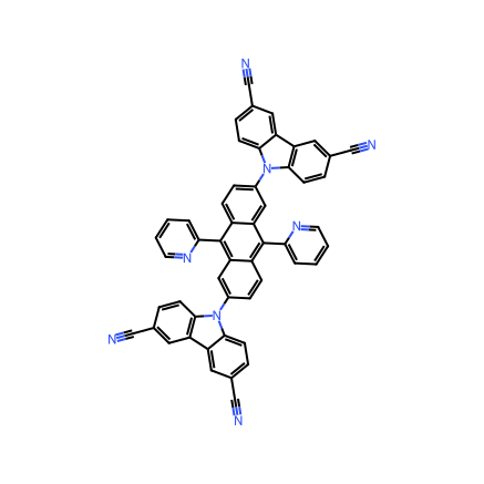 N#Cc1ccc2c(c1)c1cc(C#N)ccc1n2-c1ccc2c(-c3ccccn3)c3cc(-n4c5ccc(C#N)cc5c5cc(C#N)ccc54)ccc3c(-c3ccccn3)c2c1